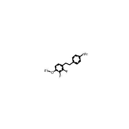 CCCc1ccc(CCc2ccc(OCC)c(F)c2F)cc1